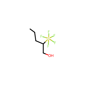 CCCC(CO)S(F)(F)(F)(F)F